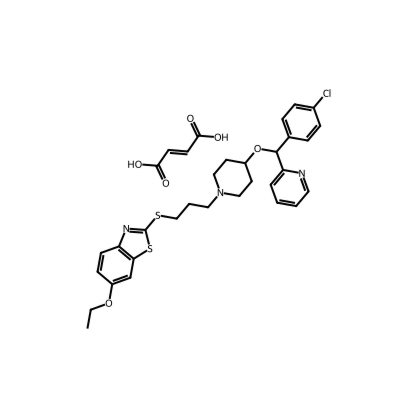 CCOc1ccc2nc(SCCCN3CCC(OC(c4ccc(Cl)cc4)c4ccccn4)CC3)sc2c1.O=C(O)/C=C/C(=O)O